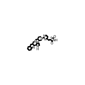 O=C1NC(=O)/C(=C/c2ccnc(N3CCC(CNCc4cc5ccccc5nc4-c4ccc[nH]4)CC3)n2)S1